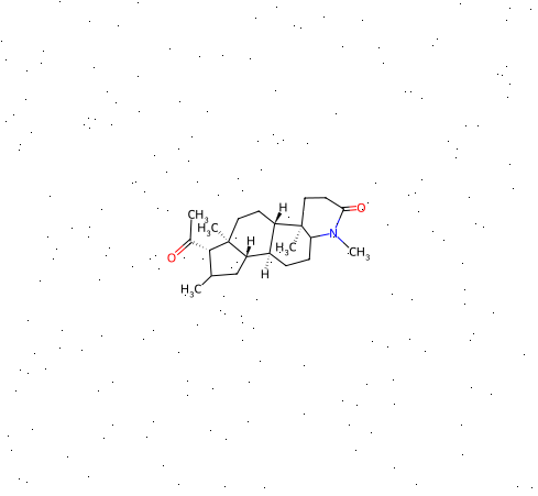 CC(=O)[C@H]1C(C)C[C@H]2[C@@H]3CCC4N(C)C(=O)CC[C@]4(C)[C@H]3CC[C@]12C